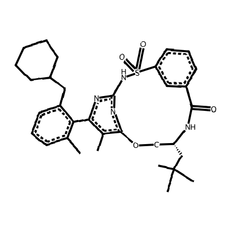 Cc1cccc(CC2CCCCC2)c1-c1nc2nc(c1C)OC[C@@H](CC(C)(C)C)NC(=O)c1cccc(c1)S(=O)(=O)N2